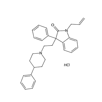 C=CCN1C(=O)C(CCN2CCC(c3ccccc3)CC2)(c2ccccc2)c2ccccc21.Cl